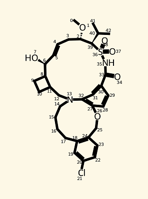 CO[C@H]1C/C=C/[C@H](O)C2CCC2CN2CCCCc3cc(Cl)ccc3COc3ccc(cc32)C(=O)NS(=O)(=O)[C@@H]1C(C)C